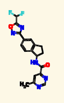 Cc1cc(C(=O)NC2CCc3cc(-c4noc(C(F)F)n4)ccc32)ncn1